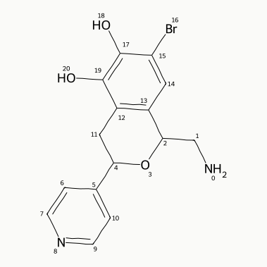 NCC1OC(c2ccncc2)Cc2c1cc(Br)c(O)c2O